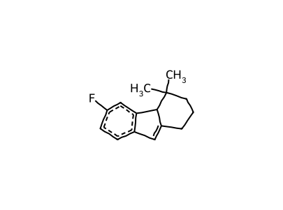 CC1(C)CCCC2=Cc3ccc(F)cc3C21